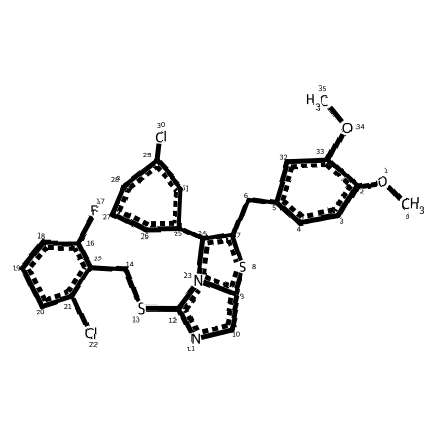 COc1ccc(Cc2sc3cnc(SCc4c(F)cccc4Cl)n3c2-c2cccc(Cl)c2)cc1OC